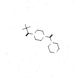 CC(C)(C)C(=O)N1CCN(C(=O)N2CCOCC2)CC1